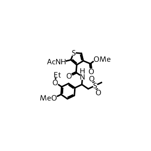 CCOc1cc(C(CS(C)(=O)=O)NC(=O)c2c(C(=O)OC)csc2NC(C)=O)ccc1OC